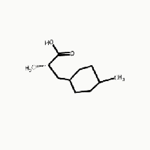 CC1CCC(C[C@H](C)C(=O)O)CC1